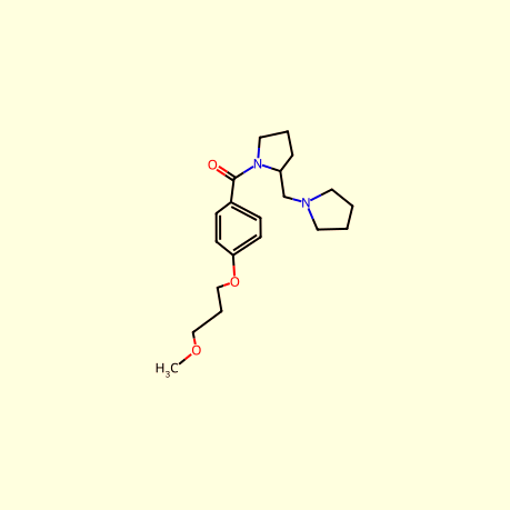 COCCCOc1ccc(C(=O)N2CCCC2CN2CCCC2)cc1